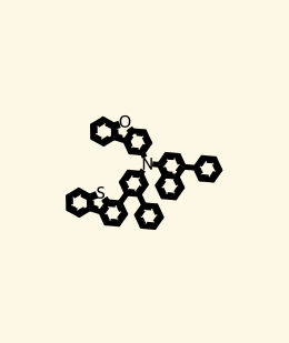 c1ccc(-c2cc(N(c3ccc4oc5ccccc5c4c3)c3ccc(-c4ccccc4)c4ccccc34)ccc2-c2cccc3c2sc2ccccc23)cc1